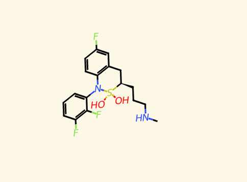 CNCCC[C@@H]1Cc2cc(F)ccc2N(c2cccc(F)c2F)S1(O)O